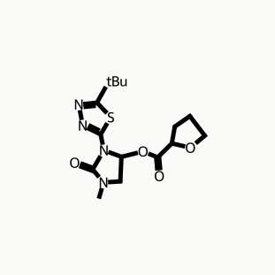 CN1CC(OC(=O)C2CCCO2)N(c2nnc(C(C)(C)C)s2)C1=O